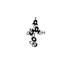 Cc1cc(F)cc(C)c1Oc1ccc(C(C)(C)O)cc1-c1cn(C)c(=O)cc1O[C@H]1CC[C@H](N2CCCOC2=O)CC1